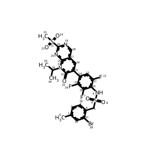 Cc1ccc(CS(=O)(=O)Nc2c(F)cc(-c3cc4cnc(S(C)(=O)=O)nc4n(C(C)C)c3=O)c(F)c2F)c(Br)c1